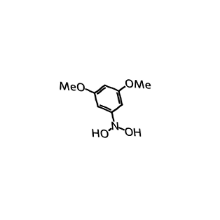 COc1cc(OC)cc(N(O)O)c1